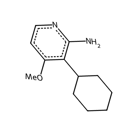 COc1ccnc(N)c1C1CCCCC1